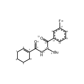 CC(C)(C)N(NC(=O)C1=CCCCC1)C(=O)c1cccc(F)c1